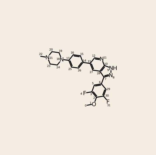 COc1c(F)cc(-c2n[nH]c3ncc(-c4ccc(N5CCN(C)CC5)cc4)cc23)cc1F